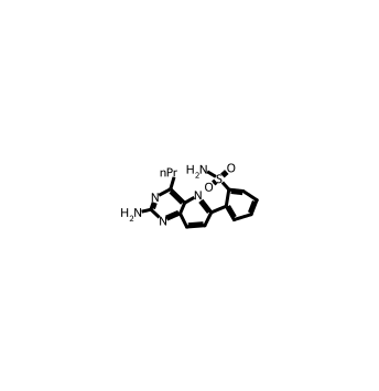 CCCc1nc(N)nc2ccc(-c3ccccc3S(N)(=O)=O)nc12